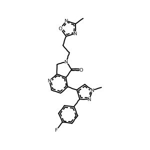 Cc1noc(CCN2Cc3nccc(-c4cn(C)nc4-c4ccc(F)cc4)c3C2=O)n1